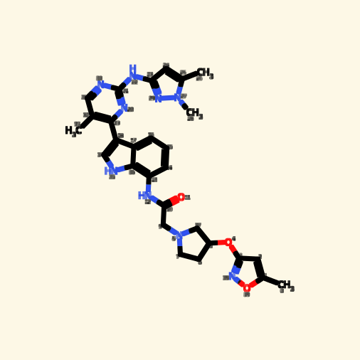 Cc1cc(OC2CCN(CC(=O)Nc3cccc4c(-c5nc(Nc6cc(C)n(C)n6)ncc5C)c[nH]c34)C2)no1